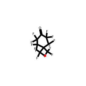 O=C1C(F)(F)C(F)(F)C(C(F)(F)F)(C(F)(F)F)C(F)(F)C1(F)F